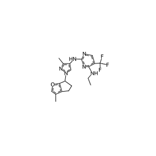 CCNc1nc(Nc2cn(C3CCc4c(C)coc43)nc2C)ncc1C(F)(F)F